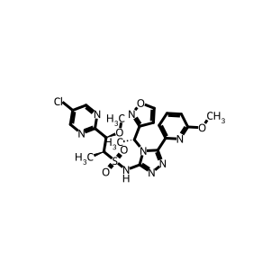 COc1cccc(-c2nnc(NS(=O)(=O)[C@@H](C)[C@H](OC)c3ncc(Cl)cn3)n2[C@H](C)c2ccon2)n1